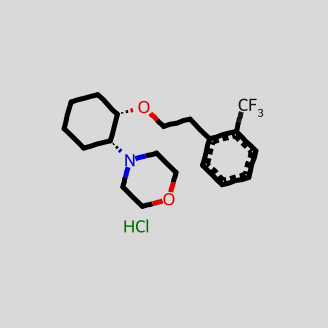 Cl.FC(F)(F)c1ccccc1CCO[C@H]1CCCC[C@H]1N1CCOCC1